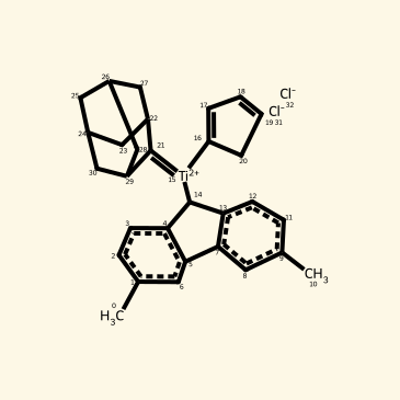 Cc1ccc2c(c1)-c1cc(C)ccc1[CH]2[Ti+2]([C]1=CC=CC1)=[C]1C2CC3CC(C2)CC1C3.[Cl-].[Cl-]